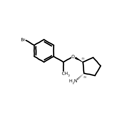 CC(O[C@H]1CCC[C@@H]1N)c1ccc(Br)cc1